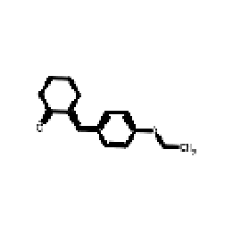 CCOc1ccc(C=C2CCCCC2=O)cc1